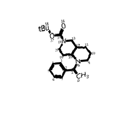 CC(c1ccccc1)N1CCCC2CN(C(=O)OC(C)(C)C)CCC21